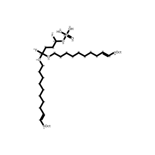 CCCCCCCCC=CCCCCCCCCOC(F)(CCC(F)OP(=O)(O)O)OCCCCCCCCC=CCCCCCCCC